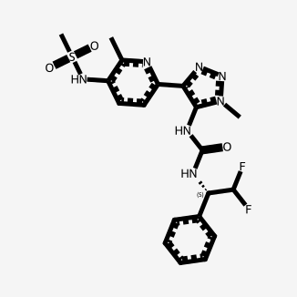 Cc1nc(-c2nnn(C)c2NC(=O)N[C@@H](c2ccccc2)C(F)F)ccc1NS(C)(=O)=O